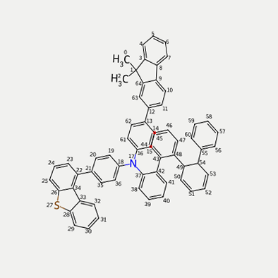 CC1(C)c2ccccc2-c2ccc(-c3ccc(N(c4ccc(-c5cccc6sc7ccccc7c56)cc4)c4ccccc4-c4ccccc4C4C=CC=CC4c4ccccc4)cc3)cc21